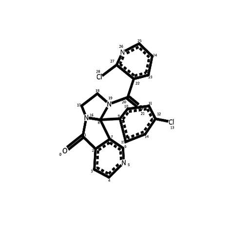 O=C1c2ccncc2C2(c3ccc(Cl)cc3)N1CCN2C(=O)c1cccnc1Cl